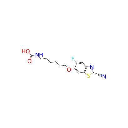 N#Cc1nc2cc(F)c(OCCCCCCNC(=O)O)cc2s1